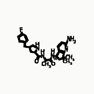 C[C@H](NC(=O)C1CC(Cc2ccc(F)cc2)CN1)C(=O)N[C@H]1CC(C)(C)c2nc(N)ccc21